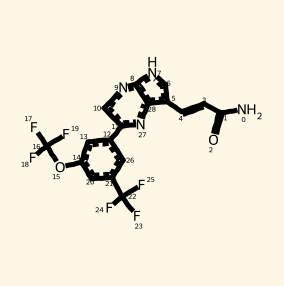 NC(=O)C=Cc1c[nH]c2ncc(-c3cc(OC(F)(F)F)cc(C(F)(F)F)c3)nc12